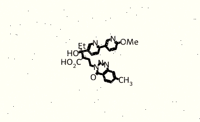 CC[C@](O)(c1ccc(-c2ccc(OC)nc2)nc1)[C@H](CCn1nnc2cc(C)ccc2c1=O)C(=O)O